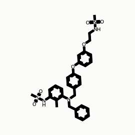 Cc1c(NS(C)(=O)=O)cccc1N(Cc1ccccc1)Cc1ccc(Oc2cccc(OCCNS(C)(=O)=O)c2)cc1